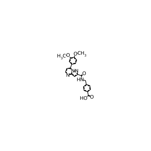 COc1ccc(-c2ccnc3cc(C(=O)NCc4ccc(C(=O)O)cc4)nn23)cc1OC